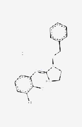 Cl.Clc1cccc(/N=C2\NCCN2OCc2ccccc2)c1Cl